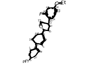 CCCC1CCC(C2CCC(C3CCC(c4ccc(OCC)cc4F)CO3)CC2)CC1